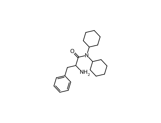 NC(Cc1ccccc1)C(=O)N(C1CCCCC1)C1CCCCC1